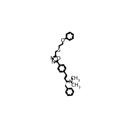 CN(C)[C@@H](C=Cc1ccc(-c2nnc(CSCCOc3ccccc3)o2)cc1)Cc1ccccc1